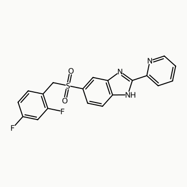 O=S(=O)(Cc1ccc(F)cc1F)c1ccc2[nH]c(-c3ccccn3)nc2c1